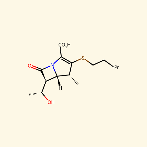 CC(C)CCSC1=C(C(=O)O)N2C(=O)[C@H]([C@@H](C)O)[C@H]2[C@H]1C